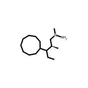 CCC(C1CCCCCCCC1)[C@H](C)CN(C)N